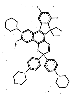 CCC1(CC)c2c(F)cc(F)cc2-c2c1c1c(c3cc(OC)c(N4CCOCC4)cc23)OC(c2ccc(N3CCOCC3)cc2)(c2ccc(N3CCOCC3)cc2)C=C1